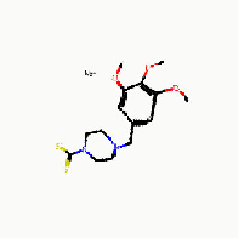 COc1cc(CN2CCN(C(=S)[S-])CC2)cc(OC)c1OC.[Na+]